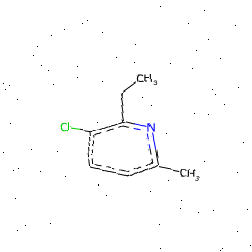 CCc1nc(C)ccc1Cl